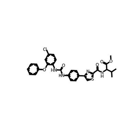 COC(=O)C(NC(=O)c1nc(-c2ccc(NC(=O)Nc3ccc(Cl)cc3Oc3ccccc3)cc2)cs1)C(C)C